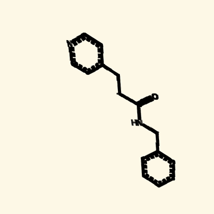 O=C([CH]Cc1ccncc1)NCc1ccccc1